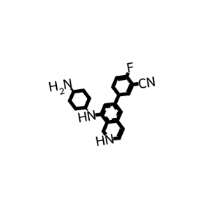 N#CC1=CC(c2cc3c(c(N[C@H]4CC[C@H](N)CC4)c2)CNC=C3)CC=C1F